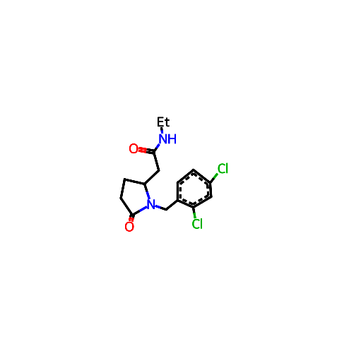 CCNC(=O)CC1CCC(=O)N1Cc1ccc(Cl)cc1Cl